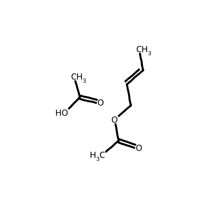 CC(=O)O.CC=CCOC(C)=O